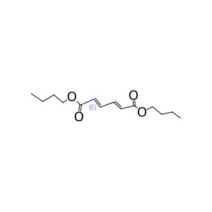 CCCCOC(=O)C=C/C=C/C(=O)OCCCC